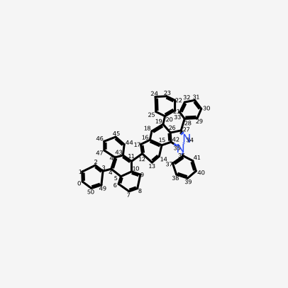 c1ccc(-c2c3ccccc3c(-c3ccc4c(c3)cc(-c3ccccc3)c3c(-c5ccccc5)nn(-c5ccccc5)c34)c3ccccc23)cc1